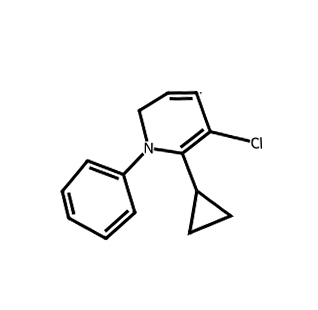 ClC1=C(C2CC2)N(c2ccccc2)CC=[C]1